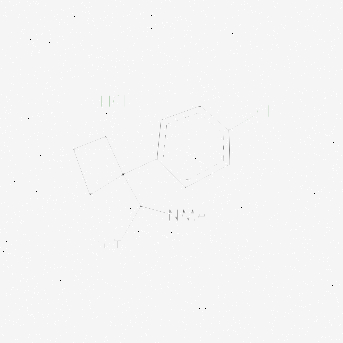 CCCC(NC)C1(c2ccc(Cl)cc2)CCC1.Cl